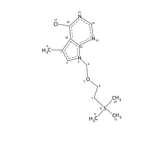 Cc1cn(COCCS(C)(C)C)c2ncnc(Cl)c12